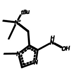 Cn1cnc(NO)c1C[N+](C)(C)C(C)(C)C